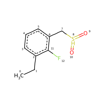 CCc1cc[c]c(C[SH](=O)=O)c1F